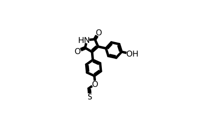 O=C1NC(=O)C(c2ccc(OC=S)cc2)=C1c1ccc(O)cc1